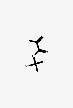 C=C(C)C(=O)OC(C)(C)C(C)=O